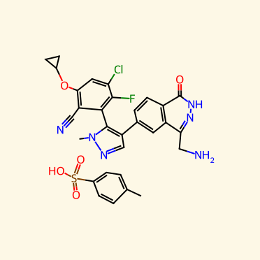 Cc1ccc(S(=O)(=O)O)cc1.Cn1ncc(-c2ccc3c(=O)[nH]nc(CN)c3c2)c1-c1c(F)c(Cl)cc(OC2CC2)c1C#N